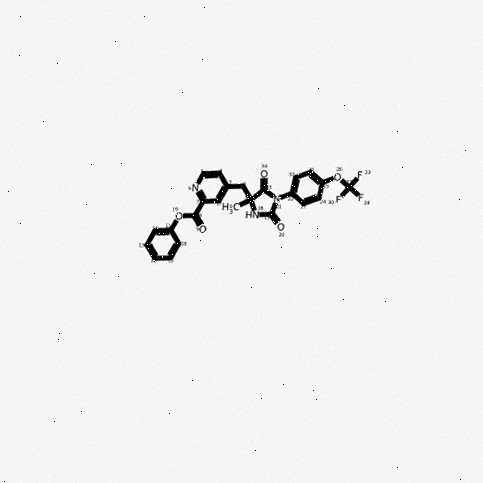 CC1(Cc2ccnc(C(=O)Oc3ccccc3)c2)NC(=O)N(c2ccc(OC(F)(F)F)cc2)C1=O